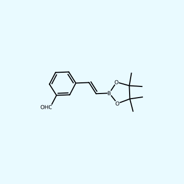 CC1(C)OB(C=Cc2cccc(C=O)c2)OC1(C)C